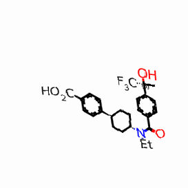 CCN(C(=O)c1ccc([C@](C)(O)C(F)(F)F)cc1)[C@H]1CC[C@H](c2ccc(C(=O)O)cc2)CC1